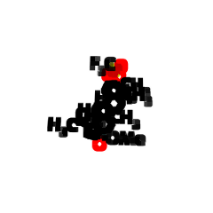 C=C(C)[C@@H]1CC[C@]2(C(=O)OC)CC[C@]3(C)[C@H](CC[C@@H]4[C@@]5(C)CC=C(OS(=O)(=O)C(F)(F)F)C(C)(C)[C@@H]5CC[C@]43C)[C@@H]12